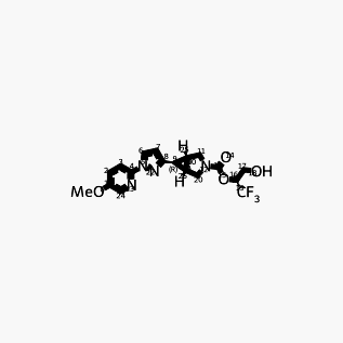 COc1ccc(-n2ccc([C@H]3[C@@H]4CN(C(=O)O[C@H](CO)C(F)(F)F)C[C@@H]43)n2)nc1